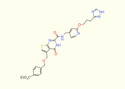 CCOC(=O)c1ccc(COCc2csc3nc(C(=O)NCc4ccnc(OCCCc5nc[nH]n5)c4)[nH]c(=O)c23)cc1